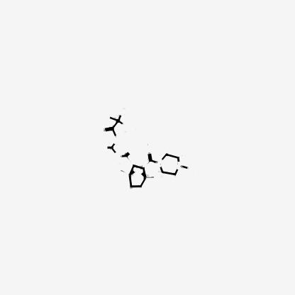 CC(OC(=O)[C@H]1[C@@H](C(=O)N2CCN(C)CC2)[C@@H]2CC[C@H]1O2)OC(=O)C(C)(C)C